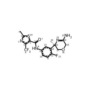 Cc1nc(C(F)(F)F)c(C(=O)Nc2ccc(F)c([C@]3(C)COCC(N)=N3)c2)s1